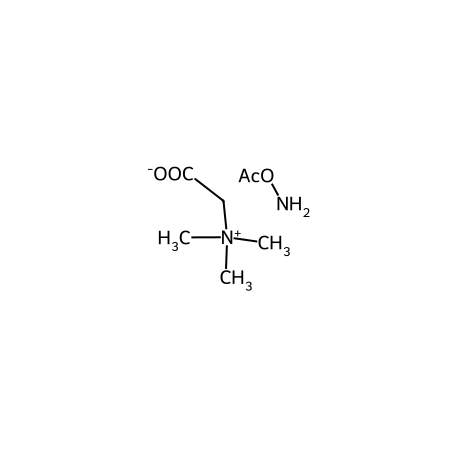 CC(=O)ON.C[N+](C)(C)CC(=O)[O-]